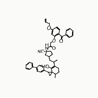 C=CCOc1ccc(C(=O)c2ccccc2)c(OCC(=O)NC2(C#N)CCC(CC(C)C3=C(O)C4(CC4c4ccc(-c5ccccc5)cc4)C(C)CC3)C2)c1